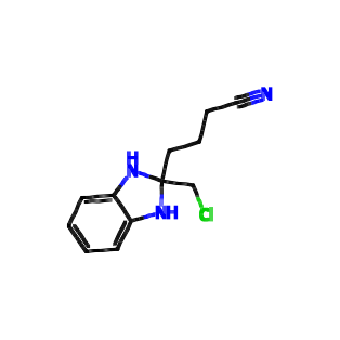 N#CCCCC1(CCl)Nc2ccccc2N1